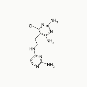 Nc1nccc(NCCc2c(N)nc(N)nc2Cl)n1